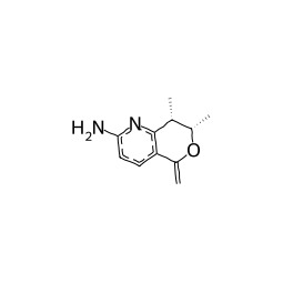 C=C1O[C@@H](C)[C@@H](C)c2nc(N)ccc21